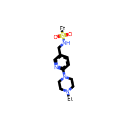 CCN1CCN(c2ccc(CNS(=O)(=O)CC)cn2)CC1